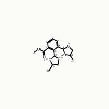 COC(=O)c1cccc(C2OCC(I)O2)c1C1OCC(I)O1